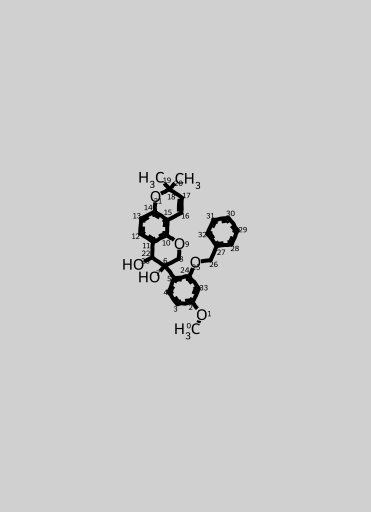 COc1ccc(C2(O)COc3c(ccc4c3C=CC(C)(C)O4)C2O)c(OCc2ccccc2)c1